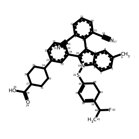 Cc1ccc2c(c1)c(-c1c(C#N)cccc1C#N)c(-c1cccc(C3CCC(C(=O)O)CC3)c1)n2SC1=CC=C(C(C)F)CC1